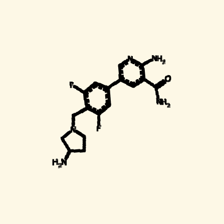 NC(=O)c1cc(-c2cc(F)c(CN3CCC(N)C3)c(F)c2)cnc1N